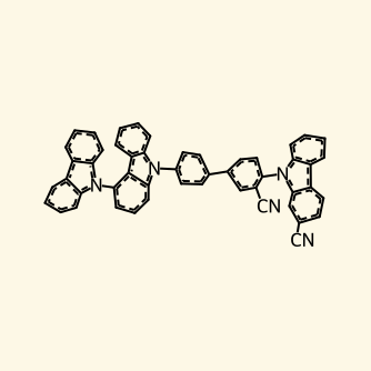 N#Cc1ccc2c3ccccc3n(-c3ccc(-c4ccc(-n5c6ccccc6c6c(-n7c8ccccc8c8ccccc87)cccc65)cc4)cc3C#N)c2c1